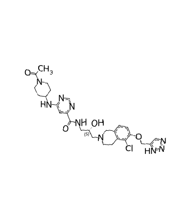 CC(=O)N1CCC(Nc2cc(C(=O)NC[C@H](O)CN3CCc4c(ccc(OCc5cnn[nH]5)c4Cl)C3)ncn2)CC1